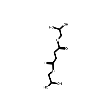 O=C(CCC(=O)OCC(O)O)OCC(O)O